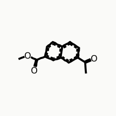 COC(=O)c1ccc2ccc(C(C)=O)cc2c1